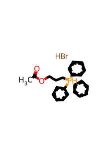 Br.CC(=O)OCCC[PH](c1ccccc1)(c1ccccc1)c1ccccc1